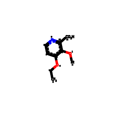 CCOc1c(OCC(F)(F)F)ccnc1C(=O)O